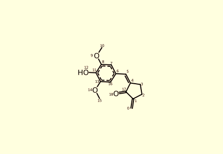 C=C1CCC(=Cc2cc(OC)c(O)c(OC)c2)C1=O